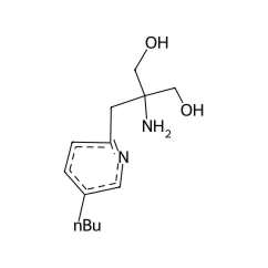 CCCCc1ccc(CC(N)(CO)CO)nc1